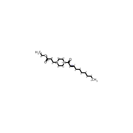 CCCCCCC/C=C/C(=O)N1CCN(CCC(=O)OCC)CC1